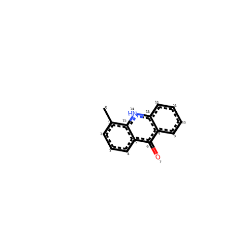 Cc1cccc2c(=O)c3ccccc3[nH]c12